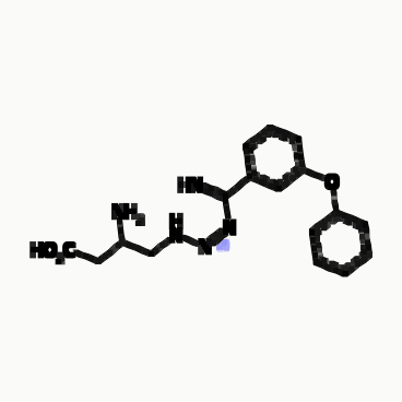 N=C(/N=N\NCC(N)CC(=O)O)c1cccc(Oc2ccccc2)c1